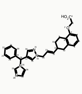 O=C(O)COc1cccc2c1CCC(C=CCn1cc(C(c3ccccc3)n3ccnc3)cn1)C2